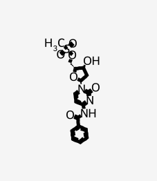 CS(=O)(=O)OC[C@H]1O[C@@H](n2ccc(NC(=O)c3ccccc3)nc2=O)C[C@@H]1O